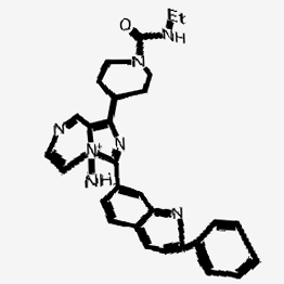 CCNC(=O)N1CCC(C2=C3C=NC=C[N+]3(N)C(c3ccc4ccc(-c5ccccc5)nc4c3)=N2)CC1